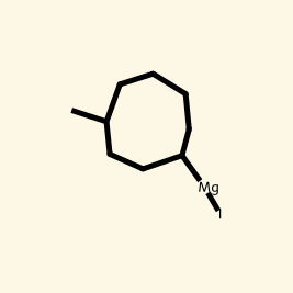 CC1CCCC[CH]([Mg][I])CC1